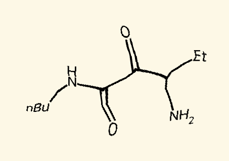 CCCCNC(=O)C(=O)C(N)CC